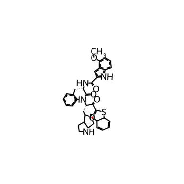 COc1cccc2[nH]c(C(=O)N[C@@H](Cc3ccccc3)C(=O)N[C@@H](CC3OCC4NCCC43)C(=O)C3=NC4C=CC=CC4S3)cc12